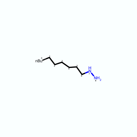 CCCCCCCCCCNN